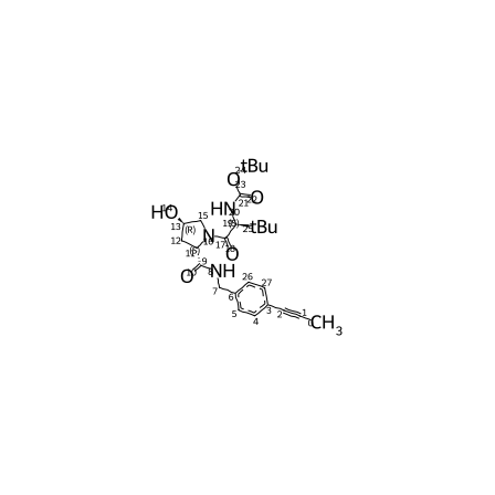 CC#Cc1ccc(CNC(=O)[C@@H]2C[C@@H](O)CN2C(=O)[C@@H](NC(=O)OC(C)(C)C)C(C)(C)C)cc1